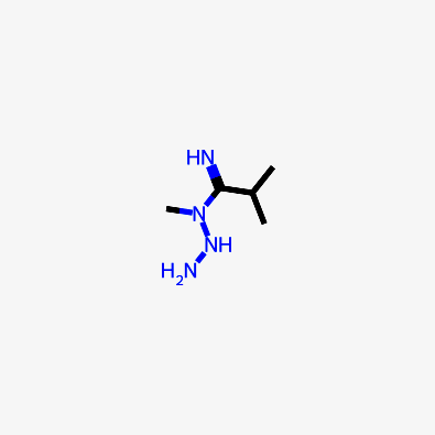 CC(C)C(=N)N(C)NN